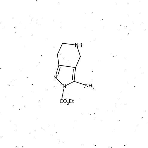 CCOC(=O)n1nc2c(c1N)CNCC2